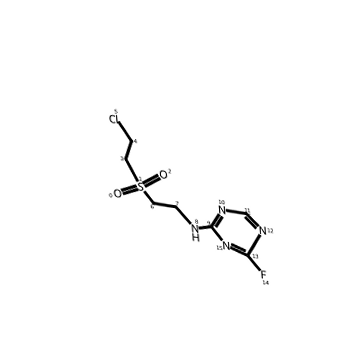 O=S(=O)(CCCl)CCNc1n[c]nc(F)n1